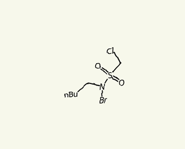 CCCCCN(Br)S(=O)(=O)CCl